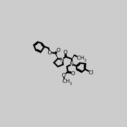 CC[C@H](C(=O)N1CCC[C@H]1C(=O)OCc1ccccc1)N(CC(=O)OC)c1ccc(Cl)cc1